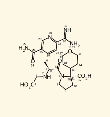 C[C@H](NCC(=O)O)C(=O)N1CCC[C@]1(C(=O)O)C1CCOCC1.N=C(N)c1ccc(C(N)=O)cn1